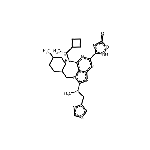 CC1CCC(Cn2c(N(C)Cc3cscn3)nc3nc(-c4nc(=O)o[nH]4)nc(N[C@H](C)C4CCC4)c32)CC1